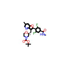 CNC(=O)c1cc(F)c(-c2oc3cc(C)cnc3c2C[C@H]2CN(C(=O)OC(C)(C)C)CCO2)c(F)c1